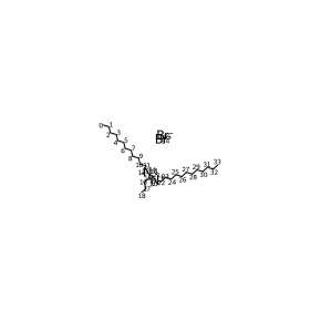 CCCCCCCCCCCC[N+](C)(C)C(CCC)[N+](C)(C)CCCCCCCCCCCC.[Br-].[Br-]